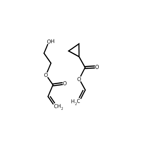 C=CC(=O)OCCO.C=COC(=O)C1CC1